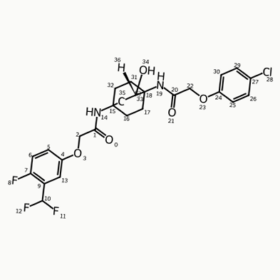 O=C(COc1ccc(F)c(C(F)F)c1)NC12CCC(NC(=O)COc3ccc(Cl)cc3)(CC1)[C@@H](O)C2